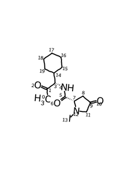 CC(=O)[C@@H](NC(=O)[C@@H]1CC(=O)CN1I)C1CCCCC1